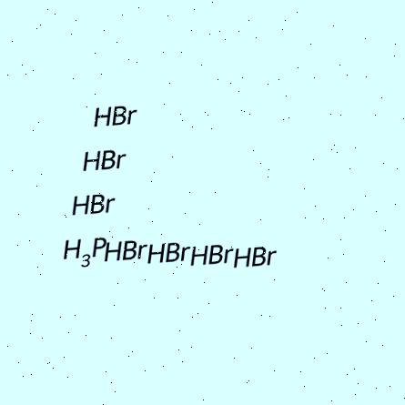 Br.Br.Br.Br.Br.Br.Br.P